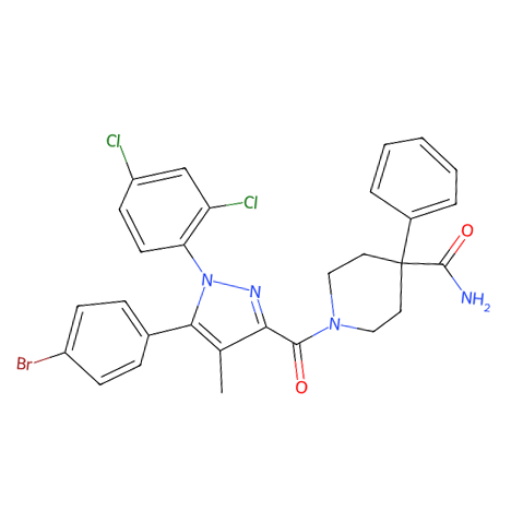 Cc1c(C(=O)N2CCC(C(N)=O)(c3ccccc3)CC2)nn(-c2ccc(Cl)cc2Cl)c1-c1ccc(Br)cc1